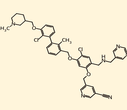 Cc1c(COc2cc(OCc3cncc(C#N)c3)c(CNCc3cncnc3)cc2Cl)cccc1-c1cccc(OCC2CCCN(C)C2)c1Cl